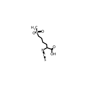 CS(=O)(=O)CCCCC(N=C=S)C(=O)O